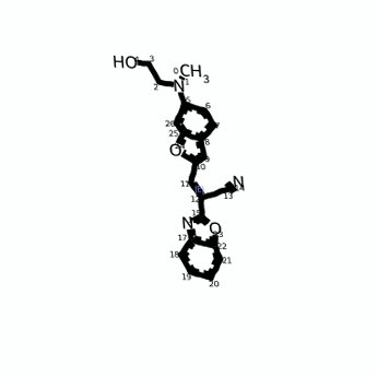 CN(CCO)c1ccc2cc(/C=C(\C#N)c3nc4ccccc4o3)oc2c1